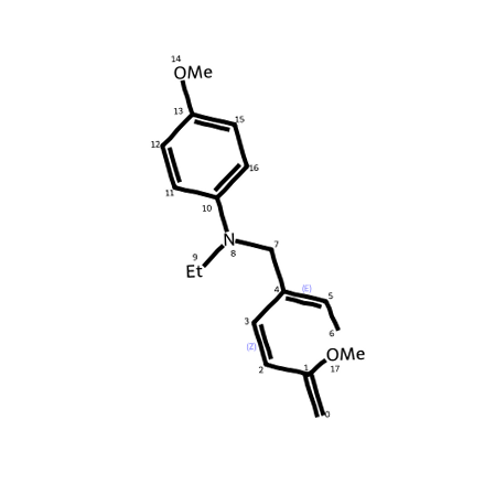 C=C(/C=C\C(=C/C)CN(CC)c1ccc(OC)cc1)OC